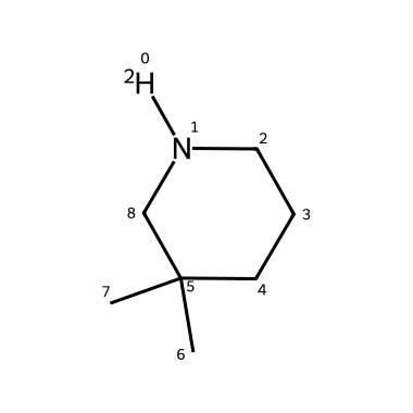 [2H]N1CCCC(C)(C)C1